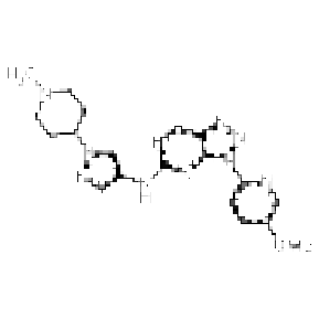 COc1ccc(-n2nnc3cnc(Nc4cnn(C5CCN(C)CC5)c4)nc32)nc1